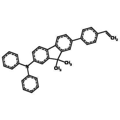 C=Cc1ccc(-c2ccc3c(c2)C(C)(C)c2cc(N(c4ccccc4)c4ccccc4)ccc2-3)cc1